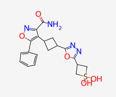 NC(=O)c1noc(-c2ccccc2)c1C1CC(c2nnc(C3CS(O)(O)C3)o2)C1